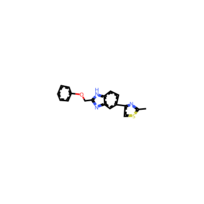 Cc1nc(-c2ccc3[nH]c(COc4ccccc4)nc3c2)cs1